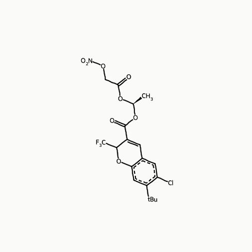 C[C@H](OC(=O)CO[N+](=O)[O-])OC(=O)C1=Cc2cc(Cl)c(C(C)(C)C)cc2OC1C(F)(F)F